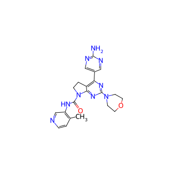 Cc1ccncc1NC(=O)N1CCc2c(-c3cnc(N)nc3)nc(N3CCOCC3)nc21